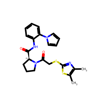 Cc1nc(SCC(=O)N2CCC[C@H]2C(=O)Nc2ccccc2-n2cccc2)sc1C